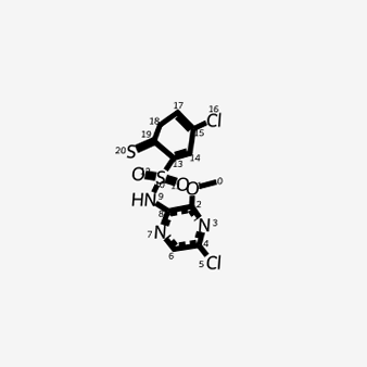 COc1nc(Cl)cnc1NS(=O)(=O)C1=CC(Cl)=CCC1=S